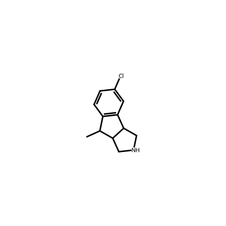 CC1c2ccc(Cl)cc2C2CNCC12